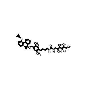 Cc1cc(COC2(c3cnccc3-c3ccccc3OC3CC3)CC2)c(C)cc1CCCCNC(=O)NCC(O)C(O)C(O)C(O)CO